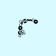 O=C1CCN(c2ccc(OCC(=O)N3CCN(CCCCOc4ccccc4)CC3)cc2)C(=O)N1